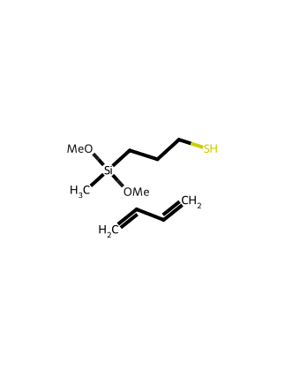 C=CC=C.CO[Si](C)(CCCS)OC